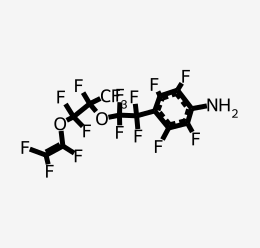 Nc1c(F)c(F)c(C(F)(F)C(F)(F)OC(F)(C(F)(F)F)C(F)(F)OC(F)=C(F)F)c(F)c1F